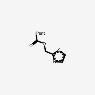 CCCC(C)C(=O)OCc1nccs1